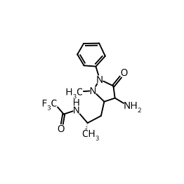 C[C@@H](CC1C(N)C(=O)N(c2ccccc2)N1C)NC(=O)C(F)(F)F